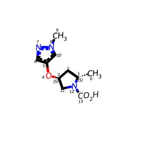 C[C@H]1C[C@H](Oc2cnn(C)c2)CN1C(=O)O